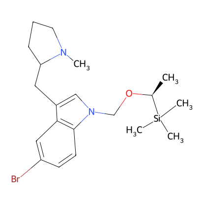 C[C@H](OCn1cc(CC2CCCN2C)c2cc(Br)ccc21)[Si](C)(C)C